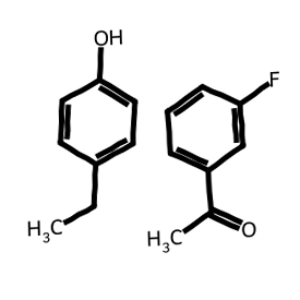 CC(=O)c1cccc(F)c1.CCc1ccc(O)cc1